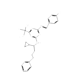 CC(C)(F)c1nc(N=Cc2ccc(Cl)cc2)nc(NC(CCCc2ccccc2)C2CC2)n1